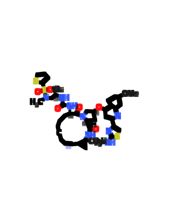 COc1ccc2c(O[C@@H]3C[C@H]4C(=O)N[C@]5(C(=O)O)CC5/C=C\CCCCC[C@H](NC(=O)N[C@H](CN(C)S(=O)(=O)c5cccs5)C(C)(C)C)C(=O)N4C3)cc(-c3csc(NC(C)C)n3)nc2c1